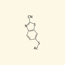 CC(=O)Sc1ccc2nc(C#N)sc2c1